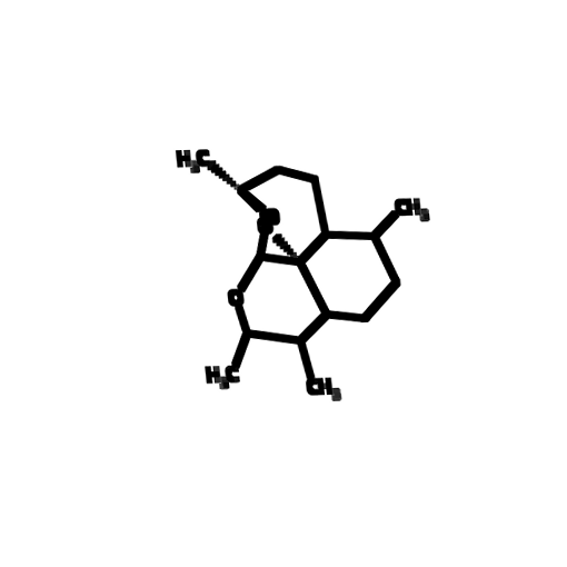 CC1CCC2C(C)C(C)OC3O[C@]4(C)CCC1[C@]32OO4